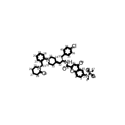 CN(c1ccc2oc(C(=O)N[C@@H](C=C3CCN(c4ccccc4CN4CCCCC4=O)CC3)Cc3ccc(Cl)cc3)cc(=O)c2c1)S(C)(=O)=O